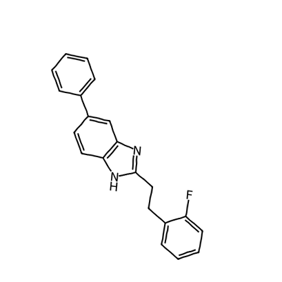 Fc1ccccc1CCc1nc2cc(-c3ccccc3)ccc2[nH]1